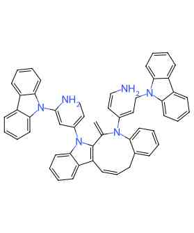 C=C1c2c(c3ccccc3n2C(=C/C)/C=C(\N)n2c3ccccc3c3ccccc32)/C=C\Cc2ccccc2N1C(/C=C\N)=C/Cn1c2ccccc2c2ccccc21